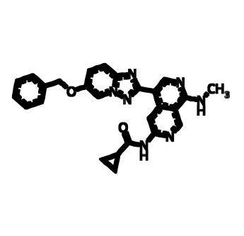 CNc1ncc(-c2nc3ccc(OCc4ccccc4)cn3n2)c2cc(NC(=O)C3CC3)ncc12